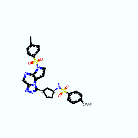 COc1ccc(S(=O)(=O)N[C@H]2CC[C@@H](c3nnc4cnc5c(ccn5S(=O)(=O)c5ccc(C)cc5)n34)C2)cc1